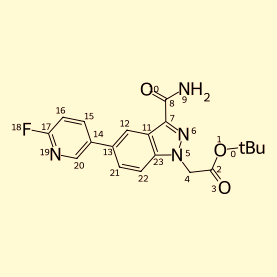 CC(C)(C)OC(=O)Cn1nc(C(N)=O)c2cc(-c3ccc(F)nc3)ccc21